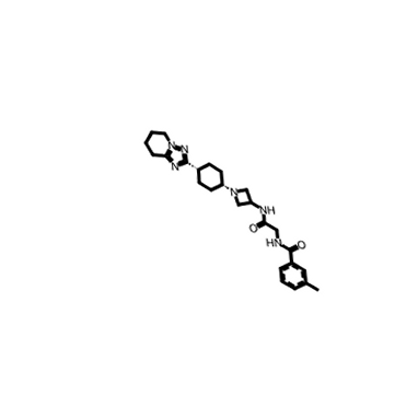 Cc1cccc(C(=O)NCC(=O)NC2CN([C@H]3CC[C@@H](c4nc5n(n4)CCCC5)CC3)C2)c1